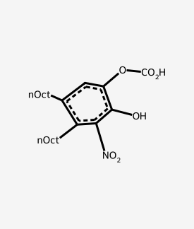 CCCCCCCCc1cc(OC(=O)O)c(O)c([N+](=O)[O-])c1CCCCCCCC